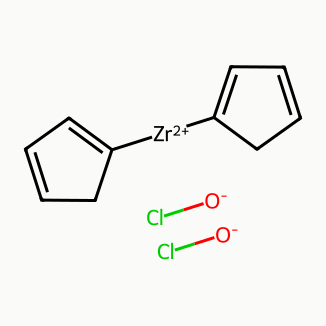 C1=CC[C]([Zr+2][C]2=CC=CC2)=C1.[O-]Cl.[O-]Cl